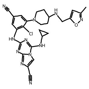 Cc1cc(CNC2CCN(c3cc(C#N)cc(Nc4nc(NC5CC5)n5cc(C#N)nc5n4)c3Cl)CC2)on1